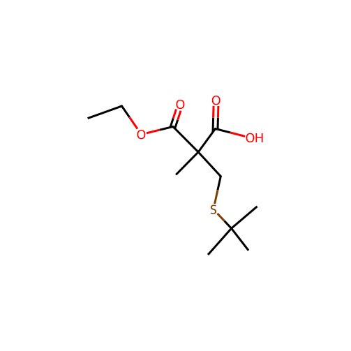 CCOC(=O)C(C)(CSC(C)(C)C)C(=O)O